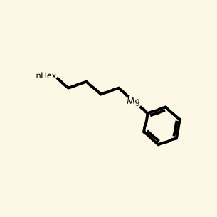 CCCCCCCCC[CH2][Mg][c]1ccccc1